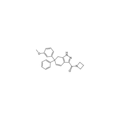 COc1cccc(C2(c3ccccc3)C=Cc3c(C(=O)N4CCC4)n[nH]c3C2)c1